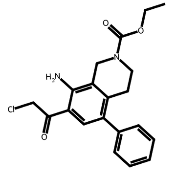 CCOC(=O)N1CCc2c(-c3ccccc3)cc(C(=O)CCl)c(N)c2C1